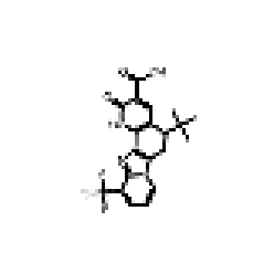 CC(C)(C)C1Cc2c(nc3c(C(F)(F)F)cccn23)-c2[nH]c(=O)c(C(=O)O)cc21